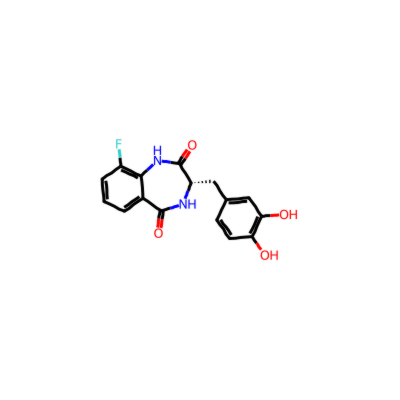 O=C1N[C@@H](Cc2ccc(O)c(O)c2)C(=O)Nc2c(F)cccc21